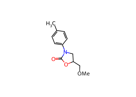 COCC1CN(c2ccc(C)cc2)C(=O)O1